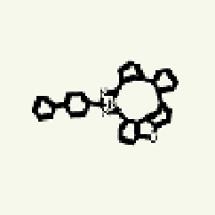 c1ccc(-c2ccc(-c3nc4nc(n3)c3cccc5oc6ccc(cc6c53)c3ccccc3c3cccc4c3)cc2)cc1